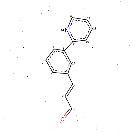 O=CC=Cc1cccc(-c2ccccn2)c1